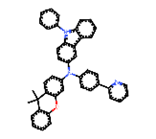 CC1(C)c2ccccc2Oc2cc(N(c3ccc(-c4ccccn4)cc3)c3ccc4c(c3)c3ccccc3n4-c3ccccc3)ccc21